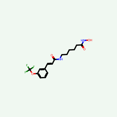 O=C(C=Cc1cccc(OC(F)(F)F)c1)NCCCCCC(=O)NO